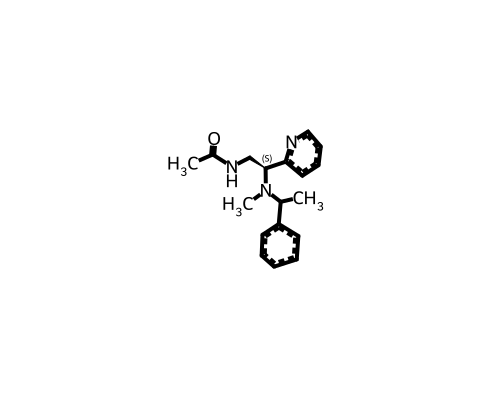 CC(=O)NC[C@@H](c1ccccn1)N(C)C(C)c1ccccc1